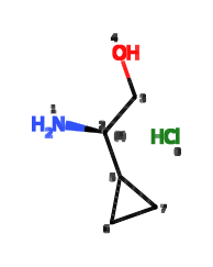 Cl.N[C@@H](CO)C1CC1